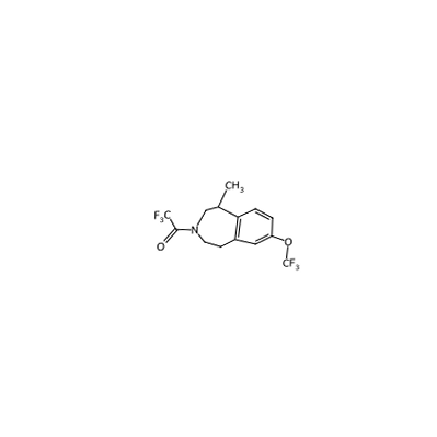 CC1CN(C(=O)C(F)(F)F)CCc2cc(OC(F)(F)F)ccc21